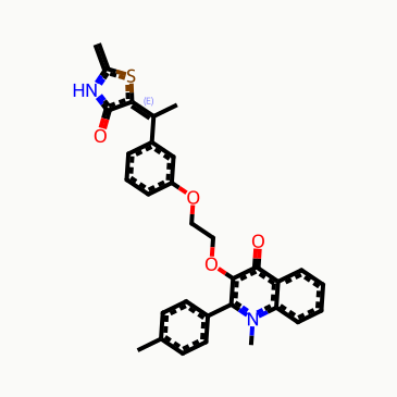 C=c1[nH]c(=O)/c(=C(/C)c2cccc(OCCOc3c(-c4ccc(C)cc4)n(C)c4ccccc4c3=O)c2)s1